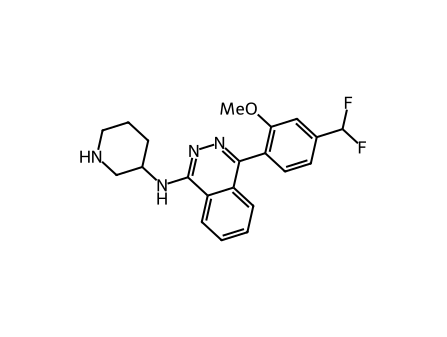 COc1cc(C(F)F)ccc1-c1nnc(NC2CCCNC2)c2ccccc12